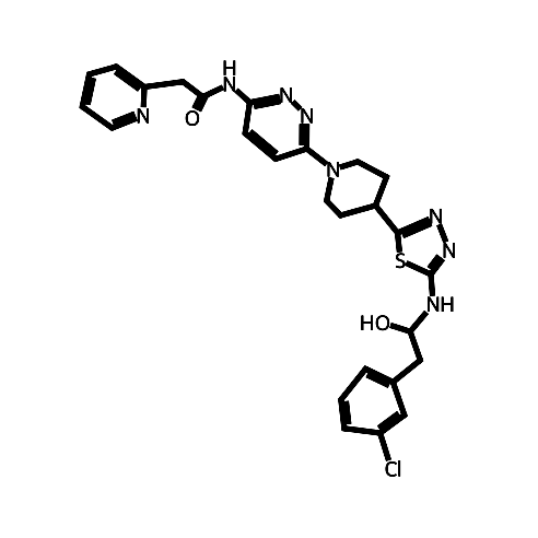 O=C(Cc1ccccn1)Nc1ccc(N2CCC(c3nnc(NC(O)Cc4cccc(Cl)c4)s3)CC2)nn1